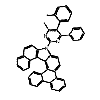 Cc1ccccc1-c1c(C)nc(-n2c3ccc4ccccc4c3c3c4c5ccccc5c5ccccc5c4ccc32)nc1-c1ccccc1